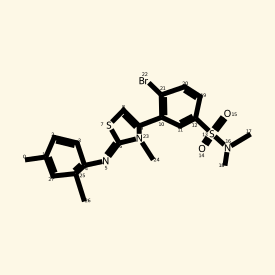 Cc1ccc(N=c2scc(-c3cc(S(=O)(=O)N(C)C)ccc3Br)n2C)c(C)c1